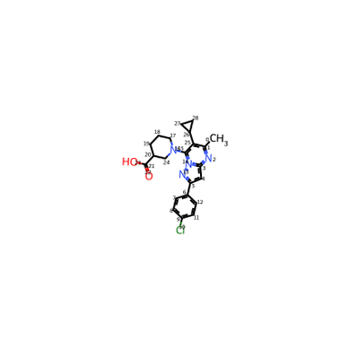 Cc1nc2cc(-c3ccc(Cl)cc3)nn2c(N2CCCC(C(=O)O)C2)c1C1CC1